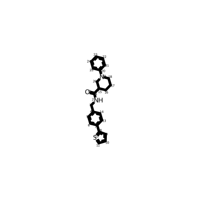 O=C(NCc1ccc(-c2cccs2)cc1)C1CCCN(c2ccccc2)C1